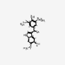 COc1cc2[nH]cc(C(=O)c3cc(OC)c(O)c(OC)c3)c2cc1O